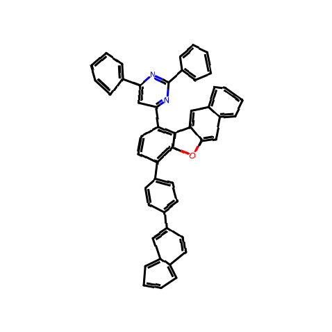 c1ccc(-c2cc(-c3ccc(-c4ccc(-c5ccc6ccccc6c5)cc4)c4oc5cc6ccccc6cc5c34)nc(-c3ccccc3)n2)cc1